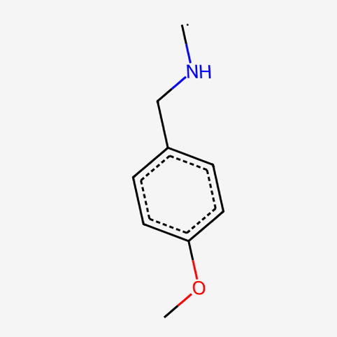 [CH2]NCc1ccc(OC)cc1